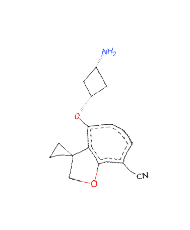 N#Cc1ccc(O[C@H]2C[C@@H](N)C2)c2c1OCC21CC1